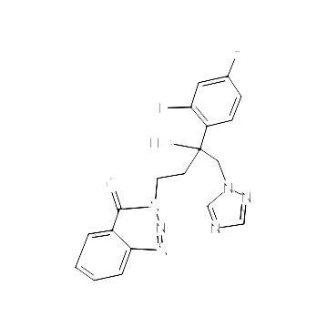 O=c1c2ccccc2nnn1CCC(O)(Cn1cncn1)c1ccc(F)cc1F